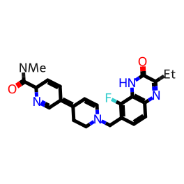 CCc1nc2ccc(CN3C=CC(=C4C=CC(C(=O)NC)N=C4)CC3)c(F)c2[nH]c1=O